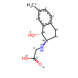 Cc1ccc2c(c1)[C@@H](O)[C@H](NCC(=O)O)CC2